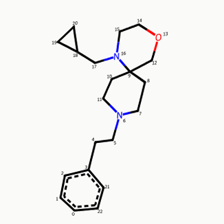 c1ccc(CCN2CCC3(CC2)COCCN3CC2CC2)cc1